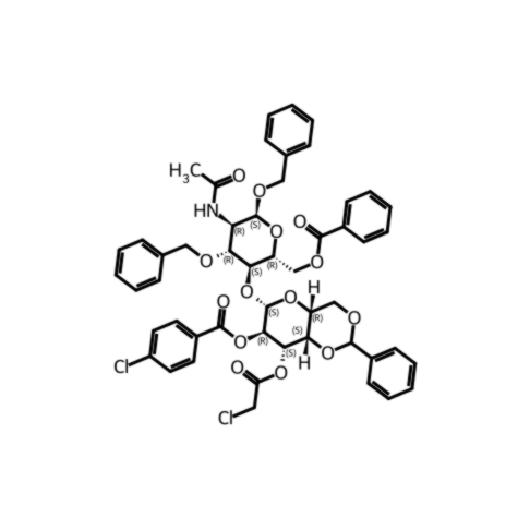 CC(=O)N[C@H]1[C@@H](OCc2ccccc2)O[C@H](COC(=O)c2ccccc2)[C@@H](O[C@@H]2O[C@@H]3COC(c4ccccc4)O[C@@H]3[C@H](OC(=O)CCl)[C@H]2OC(=O)c2ccc(Cl)cc2)[C@@H]1OCc1ccccc1